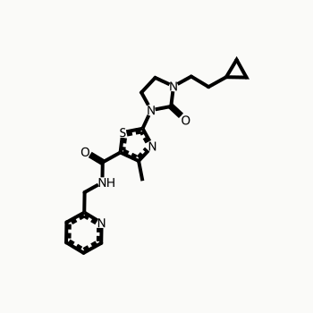 Cc1nc(N2CCN(CCC3CC3)C2=O)sc1C(=O)NCc1ccccn1